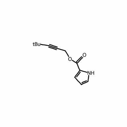 CC(C)(C)C#CCOC(=O)c1ccc[nH]1